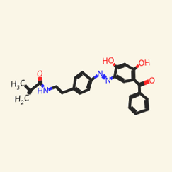 C=C(C)C(=O)NCCc1ccc(/N=N/c2cc(C(=O)c3ccccc3)c(O)cc2O)cc1